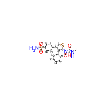 CNC(=O)N(O)c1scc(-c2ccc(S(N)(=O)=O)cc2)c1-c1ccccc1